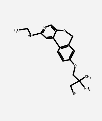 CC(C)CC(C)(N)COc1ccc2c(c1)COc1cnc(NCC(F)(F)F)cc1-2